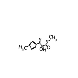 CCSC(=O)[C@H](O)C(=S)c1ccc(C)cc1